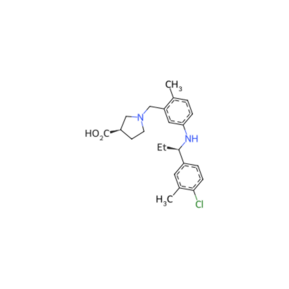 CC[C@@H](Nc1ccc(C)c(CN2CC[C@@H](C(=O)O)C2)c1)c1ccc(Cl)c(C)c1